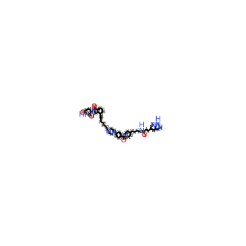 O=C(/C=C/c1cnc2[nH]ncc2c1)NCCCCC1CCN(C(=O)c2ccc(N3CCN(CCCCCC#Cc4cccc5c4CN(C4CCC(=O)NC4=O)C5=O)CC3)cc2)CC1